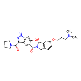 CN(C)CCCOc1ccc2c(c1)CN(C(=O)c1cc3c(C(=O)N4CCCC4)n[nH]c3cc1O)C2